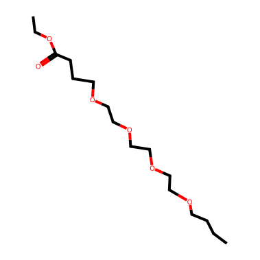 CCCCOCCOCCOCCOCCCC(=O)OCC